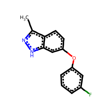 Cc1n[nH]c2cc(Oc3cccc(F)c3)ccc12